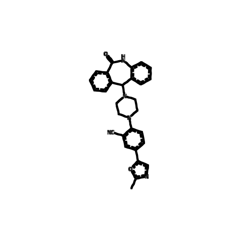 Cc1ncc(-c2ccc(N3CCN(C4c5ccccc5NC(=O)c5ccccc54)CC3)c(C#N)c2)o1